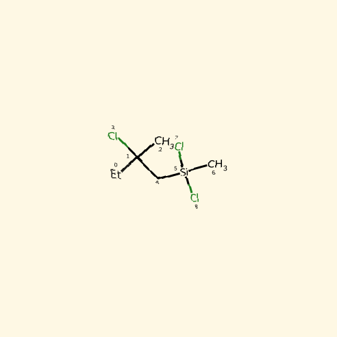 CCC(C)(Cl)C[Si](C)(Cl)Cl